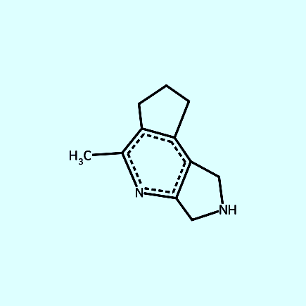 Cc1nc2c(c3c1CCC3)CNC2